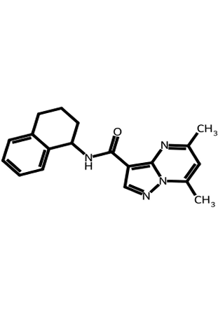 Cc1cc(C)n2ncc(C(=O)NC3CCCc4ccccc43)c2n1